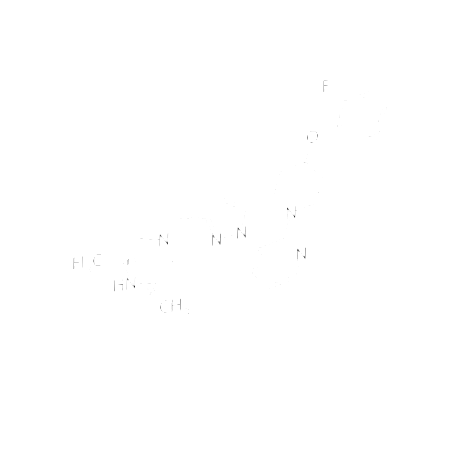 C[C@@H]1CN(Cc2ccn(-c3cccnc3N3CCC(Oc4ccccc4F)CC3)n2)C[C@H](C)N1